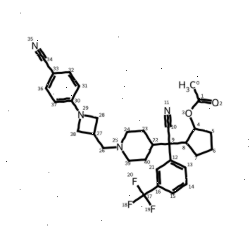 CC(=O)OC1CCCC1C(C#N)(c1cccc(C(F)(F)F)c1)C1CCN(CC2CN(c3ccc(C#N)cc3)C2)CC1